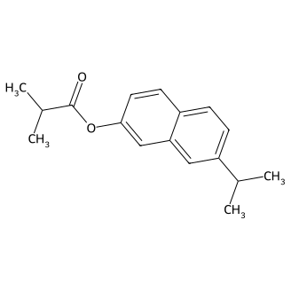 CC(C)C(=O)Oc1ccc2ccc(C(C)C)cc2c1